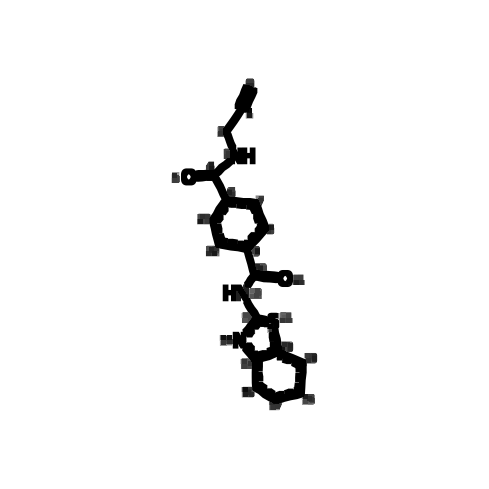 C#CCNC(=O)c1ccc(C(=O)Nc2nc3ccccc3s2)cc1